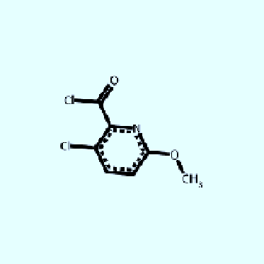 COc1ccc(Cl)c(C(=O)Cl)n1